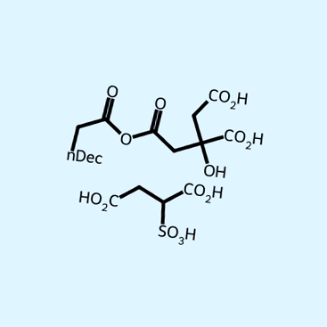 CCCCCCCCCCCC(=O)OC(=O)CC(O)(CC(=O)O)C(=O)O.O=C(O)CC(C(=O)O)S(=O)(=O)O